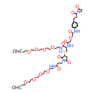 O=CCCOCCOCCOCCOCCNC(=O)CCN1C(=O)CC(SCC(NC(=O)COCC(=O)Nc2ccc(CCC(=O)N3CCC3=O)cc2)C(=O)NCCOCCOCCOCCOCCC=O)C1=O